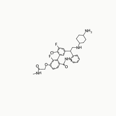 CNC(=O)COc1ccc(C(N)=O)c(-c2cc(C(CNC3CCC(N)CC3)c3ccccc3)cc(F)c2Cl)c1F